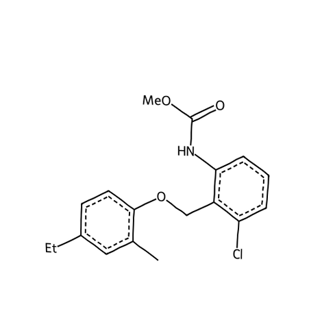 CCc1ccc(OCc2c(Cl)cccc2NC(=O)OC)c(C)c1